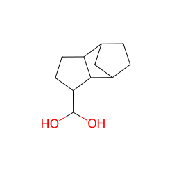 OC(O)C1CCC2C3CCC(C3)C12